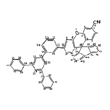 N#Cc1ccc2c(c1)Oc1cc(-c3cccc(-c4cc(-c5ccccc5)nc(-c5ccccc5)n4)c3)ccc1C21c2ccccc2-c2ccccc21